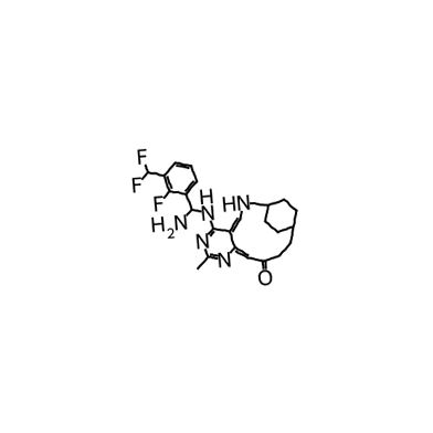 Cc1nc(NC(N)c2cccc(C(F)F)c2F)c2/c(n1)=C\C(=O)CCC1CCC(CC1)N/C=2